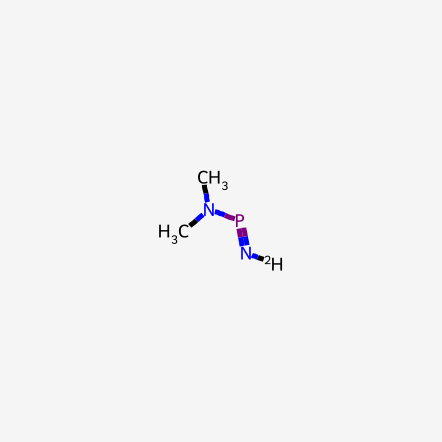 [2H]/N=P/N(C)C